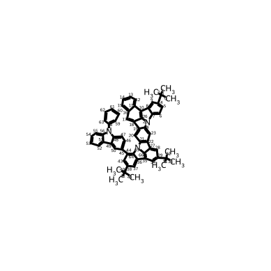 CC(C)(C)c1ccc2c(c1)c1c3ccccc3cc3c4cc5c(cc4n2c31)c1cc(C(C)(C)C)cc2c3cc(C(C)(C)C)cc(-c4ccc6c(c4)c4ccccc4n6-c4ccccc4)c3n5c12